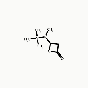 CN(C1CC(=O)O1)[Si](C)(C)C